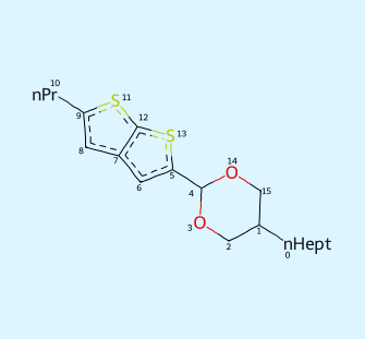 CCCCCCCC1COC(c2cc3cc(CCC)sc3s2)OC1